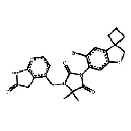 CC1(C)C(=O)N(c2cc3c(cc2Br)C2(CCC2)CO3)C(=O)N1Cc1ccnc2c1CC(=O)N2